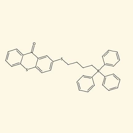 O=c1c2ccccc2sc2ccc(SCCCC[B-](c3ccccc3)(c3ccccc3)c3ccccc3)cc12